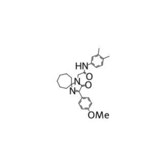 COc1ccc(C2=NC3(CCCCCC3)N(CC(=O)Nc3ccc(C)c(C)c3)C2=O)cc1